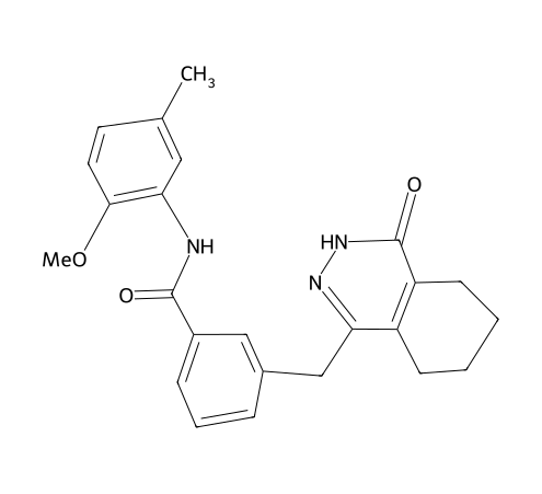 COc1ccc(C)cc1NC(=O)c1cccc(Cc2n[nH]c(=O)c3c2CCCC3)c1